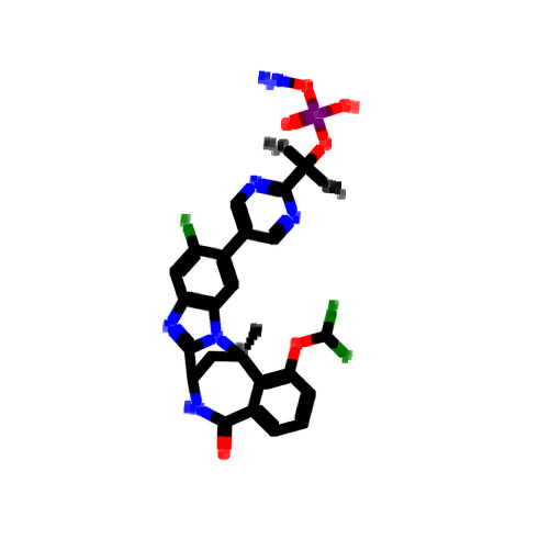 CC(C)(OP(=O)(O)ON)c1ncc(-c2cc3c(cc2F)nc2n3[C@@H]3CC2NC(=O)c2cccc(OC(F)F)c23)cn1